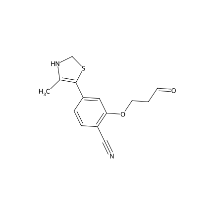 CC1=C(c2ccc(C#N)c(OCCC=O)c2)SCN1